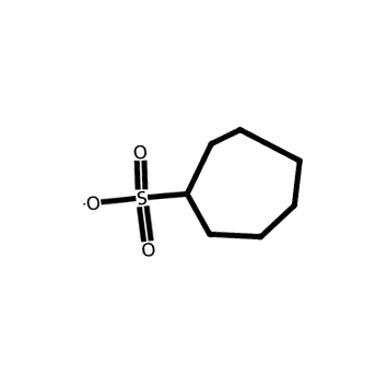 [O]S(=O)(=O)C1CCCCCC1